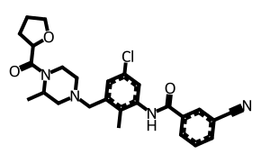 Cc1c(CN2CCN(C(=O)C3CCCO3)C(C)C2)cc(Cl)cc1NC(=O)c1cccc(C#N)c1